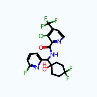 O=C(NC(c1cccc(F)n1)C1(O)CCC(F)(F)CC1)c1nccc(C(F)(F)F)c1Cl